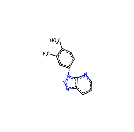 O=C(O)c1ccc(-n2nnc3cccnc32)cc1C(F)(F)F